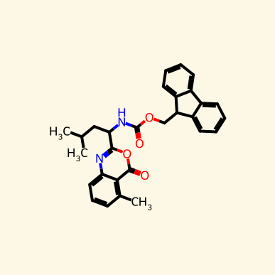 Cc1cccc2nc(C(CC(C)C)NC(=O)OCC3c4ccccc4-c4ccccc43)oc(=O)c12